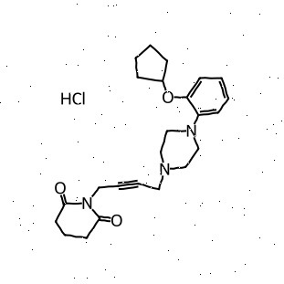 Cl.O=C1CCCC(=O)N1CC#CCN1CCN(c2ccccc2OC2CCCC2)CC1